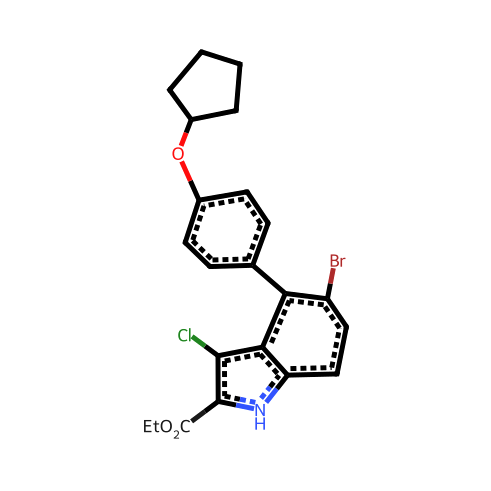 CCOC(=O)c1[nH]c2ccc(Br)c(-c3ccc(OC4CCCC4)cc3)c2c1Cl